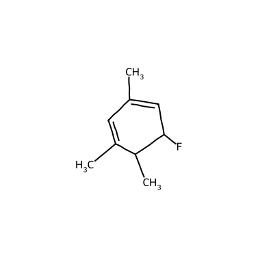 CC1=CC(F)C(C)C(C)=C1